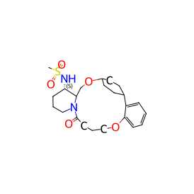 CS(=O)(=O)N[C@H]1CCCN2C(=O)CCCOc3ccccc3C3CCC(CC3)OCC12